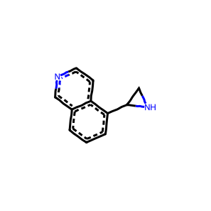 c1cc(C2CN2)c2ccncc2c1